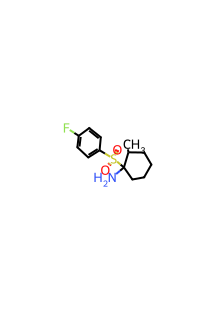 CC1CCCCC1(N)S(=O)(=O)c1ccc(F)cc1